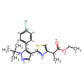 CCOC(=O)C(C)c1csc(-c2cnn(C(C)(C)C)c2-c2ccc(F)cc2)n1